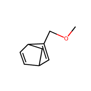 COCC1=CC2C=CC1C2